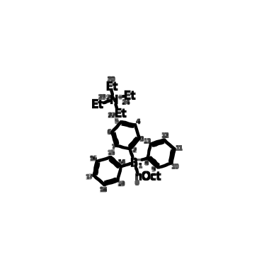 CCCCCCCC[B-](c1ccccc1)(c1ccccc1)c1ccccc1.CC[N+](CC)(CC)CC